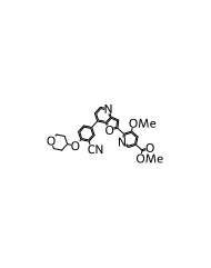 COC(=O)c1cnc(-c2cc3nccc(-c4ccc(OC5CCOCC5)c(C#N)c4)c3o2)c(OC)c1